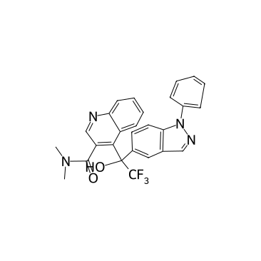 CN(C)C(=O)c1cnc2ccccc2c1C(O)(c1ccc2c(cnn2-c2ccccc2)c1)C(F)(F)F